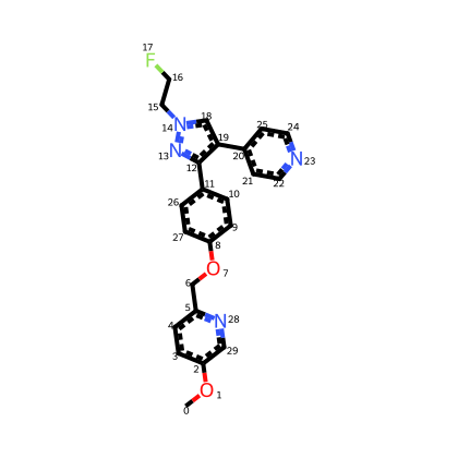 COc1ccc(COc2ccc(-c3nn(CCF)cc3-c3ccncc3)cc2)nc1